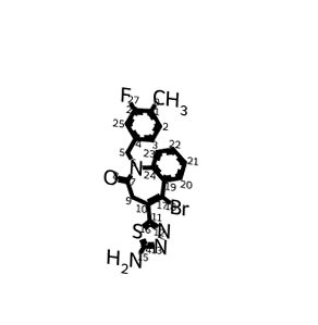 Cc1ccc(CN2C(=O)CC(c3nnc(N)s3)=C(Br)c3ccccc32)cc1F